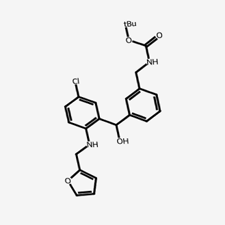 CC(C)(C)OC(=O)NCc1cccc(C(O)c2cc(Cl)ccc2NCc2ccco2)c1